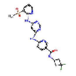 CS(=O)(=O)c1cccnc1Nc1cc(Nc2ccc(C(=O)NC3CC(F)(F)C3)cn2)ncn1